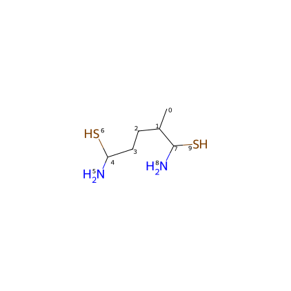 CC(CCC(N)S)C(N)S